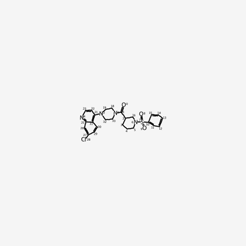 O=C(C1CCCN(S(=O)(=O)c2ccccc2)C1)N1CCN(c2ccnc3cc(Cl)ccc23)CC1